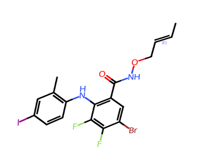 C/C=C/CONC(=O)c1cc(Br)c(F)c(F)c1Nc1ccc(I)cc1C